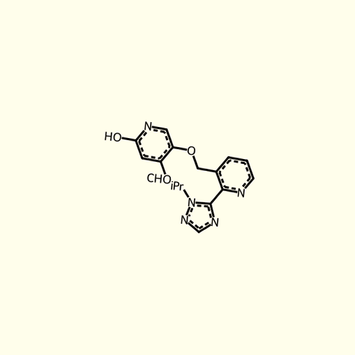 CC(C)n1ncnc1-c1ncccc1COc1cnc(O)cc1C=O